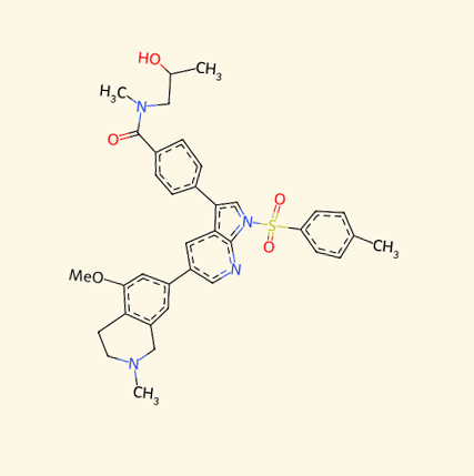 COc1cc(-c2cnc3c(c2)c(-c2ccc(C(=O)N(C)CC(C)O)cc2)cn3S(=O)(=O)c2ccc(C)cc2)cc2c1CCN(C)C2